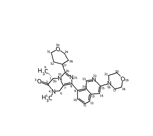 C[C@H]1C(=O)N(C)Cc2c(-c3cccc4cc(N5CCOCC5)ncc34)nc(C3CCOCC3)n21